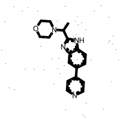 CC(c1nc2cc(-c3ccncc3)ccc2[nH]1)N1CCOCC1